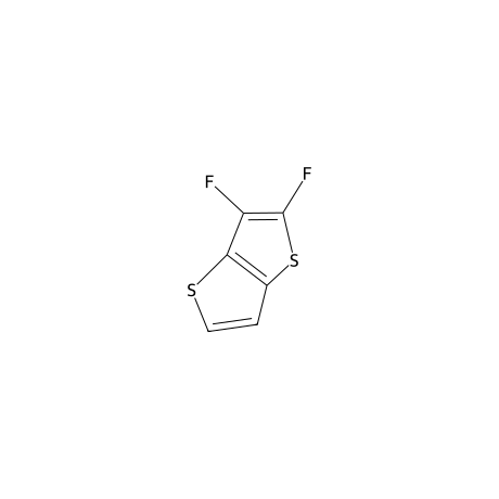 Fc1sc2ccsc2c1F